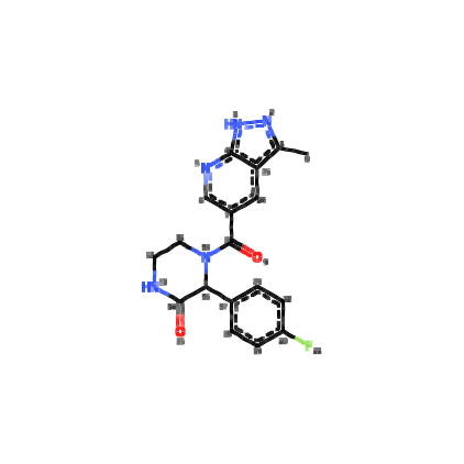 Cc1n[nH]c2ncc(C(=O)N3CCNC(=O)C3c3ccc(F)cc3)cc12